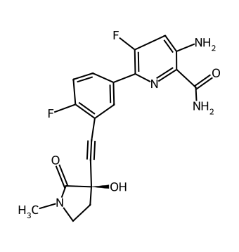 CN1CC[C@@](O)(C#Cc2cc(-c3nc(C(N)=O)c(N)cc3F)ccc2F)C1=O